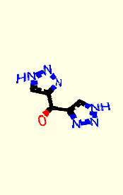 O=C(c1c[nH]nn1)c1c[nH]nn1